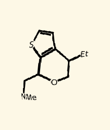 CCC1COC(CNC)c2sccc21